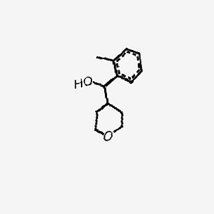 Cc1ccccc1C(O)C1CCOCC1